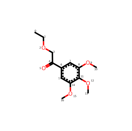 CCOCC(=O)c1cc(OC)c(OC)c(OC)c1